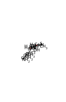 Cc1ncsc1-c1ccc([C@H](C)NC(=O)[C@@H]2C[C@@H](O)CN2C(=O)[C@@H](NC(=O)CCCCCc2cccc(NC(=O)[C@@H](N)CCC(N)=O)c2C)C(C)(C)C)cc1.Cl